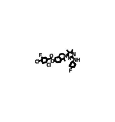 Cc1nc(Nc2ccc(F)cc2)nc(N2CCc3cc(OC(=O)c4cc(F)c(Cl)cc4Cl)ccc3C2C)c1C